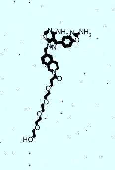 Nc1nc2cc(-c3nn(Cc4ccc5c(c4)CCN(C(=O)CCOCCOCCOCCOCCO)C5)c4ncnc(N)c34)ccc2o1